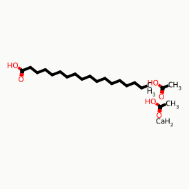 CC(=O)O.CC(=O)O.CCCCCCCCCCCCCCCCCC(=O)O.[CaH2]